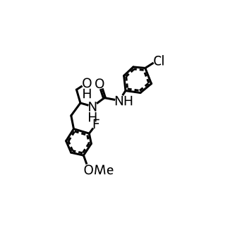 COc1ccc(CC(CO)NC(=O)Nc2ccc(Cl)cc2)c(F)c1